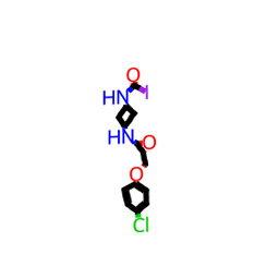 O=C(I)NC12CC(NC3OC3COc3ccc(Cl)cc3)(C1)C2